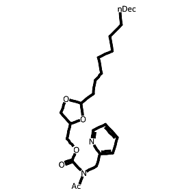 CCCCCCCCCCCCCCCCCC1OCC(COC(=O)N(Cc2ccccn2)C(C)=O)O1